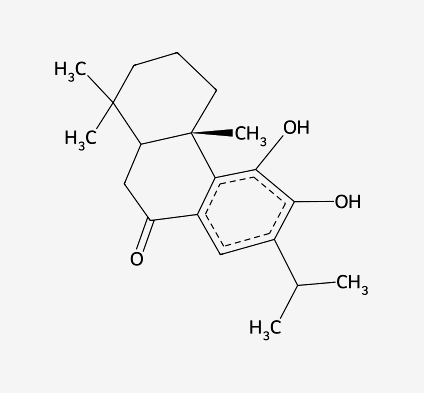 CC(C)c1cc2c(c(O)c1O)[C@@]1(C)CCCC(C)(C)C1CC2=O